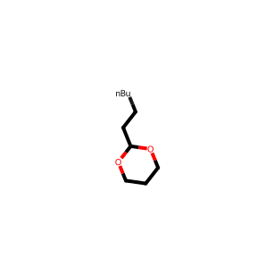 [CH2]CCCCCC1OCCCO1